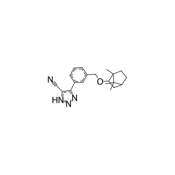 CC1(C)C2CCC1(C)C(OCc1cccc(-c3nn[nH]c3C#N)c1)C2